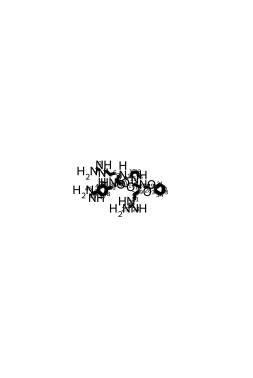 N=C(N)NCCC[C@H](NC(=O)[C@@H]1CCCN1C(=O)[C@H](CCCNC(=N)N)NC(=O)Oc1ccccc1)C(=O)NCc1ccc(C(=N)N)cc1